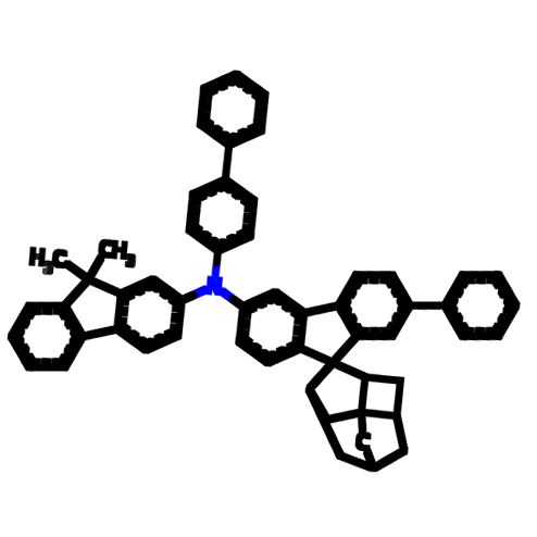 CC1(C)c2ccccc2-c2ccc(N(c3ccc(-c4ccccc4)cc3)c3ccc4c(c3)-c3ccc(-c5ccccc5)cc3C43C4CC5CC6CC3C6(C5)C4)cc21